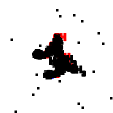 COc1ccc2c(c1)OC(C)(C)[C@@H](c1ccccc1)[C@@H]2c1ccc(OCCN2CCCC2)cc1.O=C(c1ccc(OCCN2CCCCC2)cc1)c1c(-c2ccc(O)cc2)sc2cc(O)ccc12